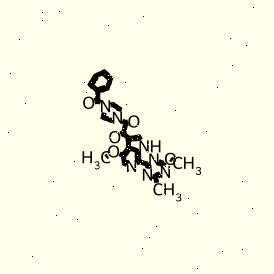 COc1nc(C)nc(-c2ncc(OC)c3c(C(=O)C(=O)N4CCN(C(=O)c5ccccc5)CC4)c[nH]c23)n1